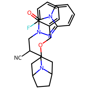 N#CC(CN1C2CCC1CC(OCc1ccccc1F)C2)Cn1nc2ccccn2c1=O